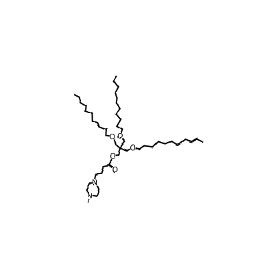 CCCCCCCCCCCOCC(COCCCCCCCCCCC)(COCCCCCCCCCCC)COC(=O)CCCN1CCN(C)CC1